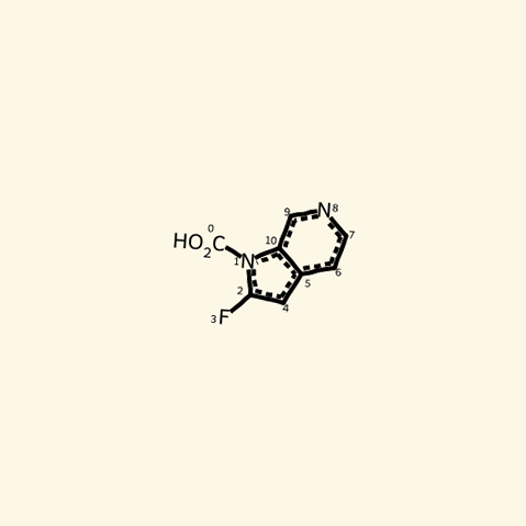 O=C(O)n1c(F)cc2ccncc21